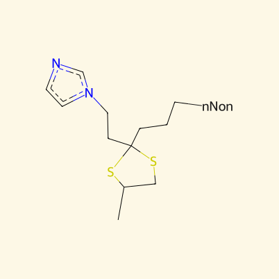 CCCCCCCCCCCCC1(CCn2ccnc2)SCC(C)S1